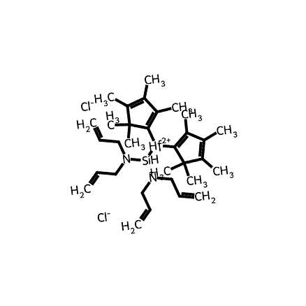 C=CCN(CC=C)[SiH](N(CC=C)CC=C)[Hf+2]([C]1=C(C)C(C)=C(C)C1(C)C)[C]1=C(C)C(C)=C(C)C1(C)C.[Cl-].[Cl-]